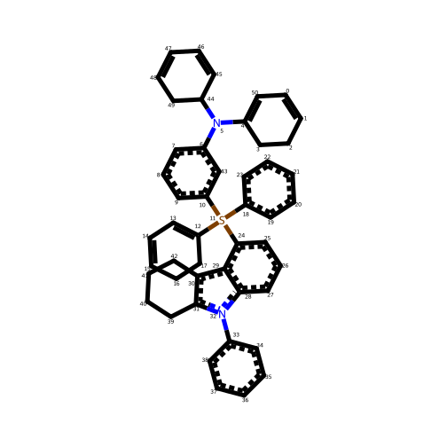 C1=CCCC(N(c2cccc(S(C3=CC=CCC3)(c3ccccc3)c3cccc4c3c3c(n4-c4ccccc4)CCCC3)c2)C2C=CC=CC2)=C1